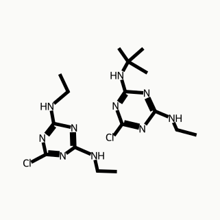 CCNc1nc(Cl)nc(NC(C)(C)C)n1.CCNc1nc(Cl)nc(NCC)n1